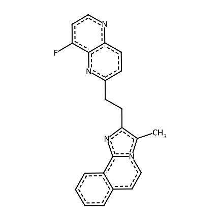 Cc1c(CCc2ccc3nccc(F)c3n2)nc2c3ccccc3ccn12